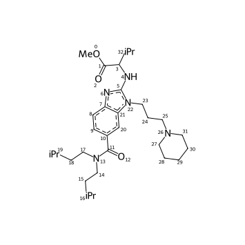 COC(=O)C(Nc1nc2ccc(C(=O)N(CCC(C)C)CCC(C)C)cc2n1CCCN1CCCCC1)C(C)C